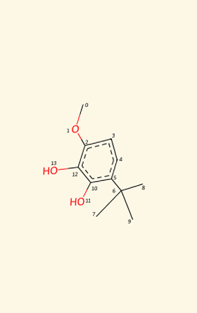 COc1ccc(C(C)(C)C)c(O)c1O